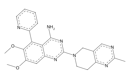 COc1cc2nc(N3CCc4nc(C)ncc4C3)nc(N)c2c(-c2ccccn2)c1OC